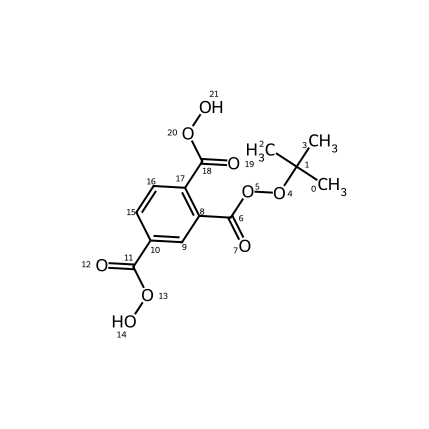 CC(C)(C)OOC(=O)c1cc(C(=O)OO)ccc1C(=O)OO